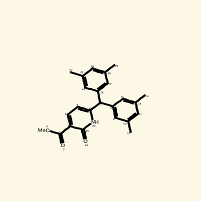 COC(=O)c1ccc(C(c2cc(C)cc(C)c2)c2cc(C)cc(C)c2)[nH]c1=O